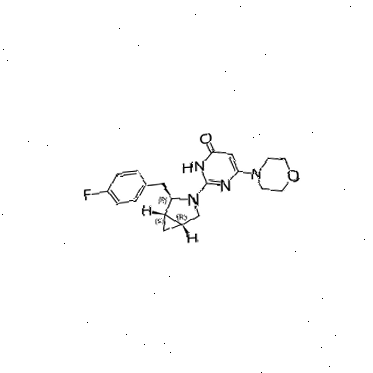 O=c1cc(N2CCOCC2)nc(N2C[C@@H]3C[C@@H]3[C@H]2Cc2ccc(F)cc2)[nH]1